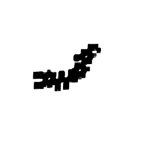 N#Cc1ccc(NC(=O)Nc2nc3ccc(-n4ccc(N)nc4=O)cc3s2)cc1C#N